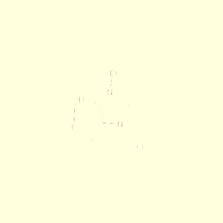 CCN1C=CN(C)C1.O=PO